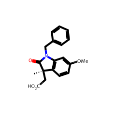 COc1ccc2c(c1)N(Cc1ccccc1)C(=O)[C@]2(C)CC(=O)O